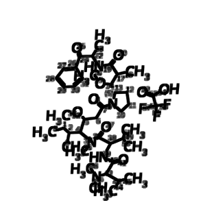 CCC(C)C(C(CC(=O)N1CCC[C@H]1C(OC)C(C)C(=O)NC(C)C(=O)c1ccccc1)OC)N(C)C(=O)C(NC(=O)C(C(C)C)N(C)C)C(C)C.O=C(O)C(F)(F)F